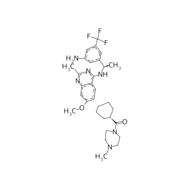 COc1cc2nc(C)nc(N[C@H](C)c3cc(N)cc(C(F)(F)F)c3)c2cc1[C@H]1CC[C@H](C(=O)N2CCN(C)CC2)CC1